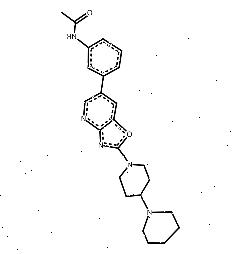 CC(=O)Nc1cccc(-c2cnc3nc(N4CCC(N5CCCCC5)CC4)oc3c2)c1